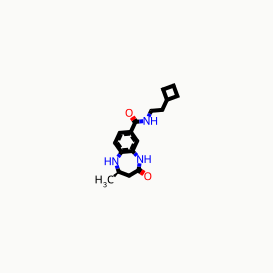 C[C@@H]1CC(=O)Nc2cc(C(=O)NCCC3CCC3)ccc2N1